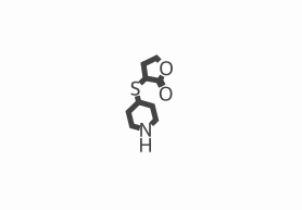 O=C1OCCC1SC1CCNCC1